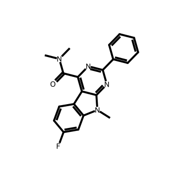 CN(C)C(=O)c1nc(-c2ccccc2)nc2c1c1ccc(F)cc1n2C